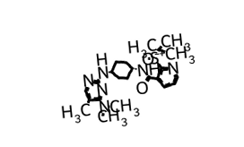 Cc1cnc(N[C@H]2CC[C@@H](NC(=O)c3cccnc3[S+]([O-])C(C)(C)C)CC2)nc1N(C)C